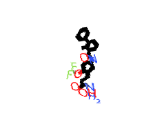 Cc1c(-c2ccccc2)cccc1-c1nc2cc(CC[C@@H](N)C(=O)O)c(OC(F)F)cc2o1